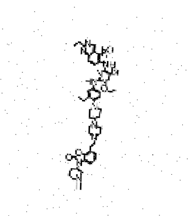 CCOc1cc(N2CCC(N3CCN(CCc4cccc5c4oc(=O)n5C4CCCNC4)CC3)CC2)c(CC)cc1Nc1ncc(Br)c(Nc2ccc3nc(CC)ncc3c2P(C)(C)=O)n1